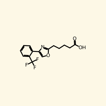 O=C(O)CCCCc1nc(-c2ccccc2C(F)(F)F)co1